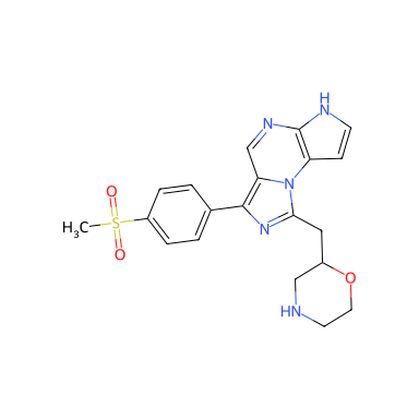 CS(=O)(=O)c1ccc(-c2nc(CC3CNCCO3)n3c2cnc2[nH]ccc23)cc1